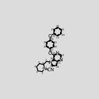 N#CN1CCCCC1Cn1ccc2ncnc(Oc3ccc(Oc4ccccc4)cc3)c21